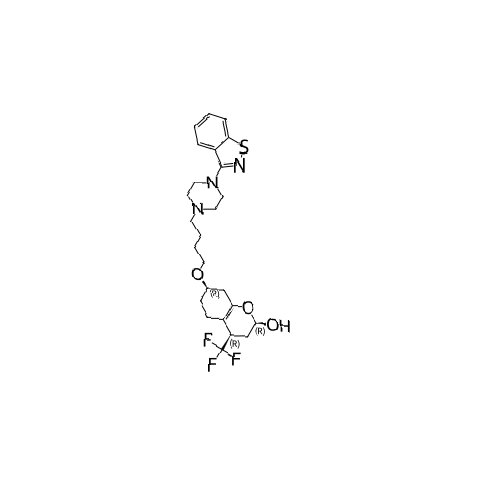 O[C@H]1C[C@@H](C(F)(F)F)C2=C(C[C@H](OCCCCN3CCN(c4nsc5ccccc45)CC3)CC2)O1